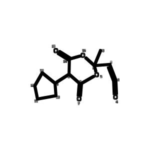 CC1(C=C=O)OC(=O)C(C2CCCC2)C(=O)O1